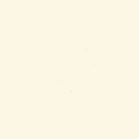 NC(=O)c1cc2c(ncn2COCCO)c(F)c1Nc1ccc(Br)cc1Cl